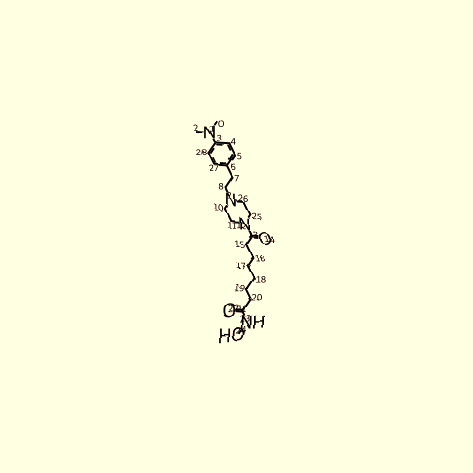 CN(C)c1ccc(CCN2CCN(C(=O)CCCCCCC(=O)NO)CC2)cc1